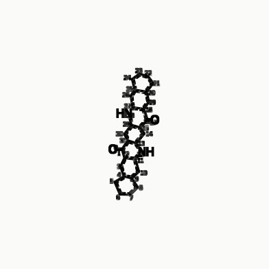 O=c1c2cc3ccccc3cc2[nH]c2cc3c(=O)c4cc5ccccc5cc4[nH]c3cc12